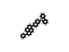 c1ccc(-c2ccc3ccc4c(-c5ccc6cc(-n7c8ccccc8c8ccccc87)ccc6c5)ccc5ccc2c3c54)cc1